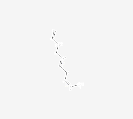 C=CNC/N=C/C/C=N\O